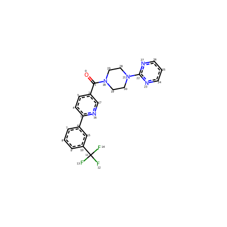 O=C(c1ccc(-c2cccc(C(F)(F)F)c2)nc1)N1CCN(c2ncccn2)CC1